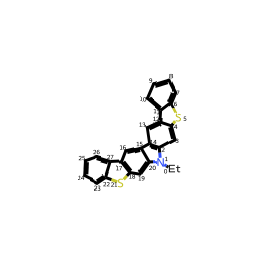 CCn1c2cc3sc4ccccc4c3cc2c2cc3c(cc21)sc1ccccc13